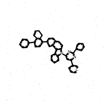 C1=Cc2c(-c3ccccc3)ccc(-c3ccc4ccc5c(c4c3)c3ccccc3n5-c3cc(-c4ccccc4)nc(-c4ccccc4)n3)c2CC1